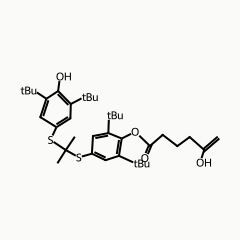 C=C(O)CCCC(=O)Oc1c(C(C)(C)C)cc(SC(C)(C)Sc2cc(C(C)(C)C)c(O)c(C(C)(C)C)c2)cc1C(C)(C)C